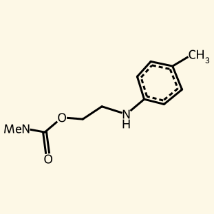 CNC(=O)OCCNc1ccc(C)cc1